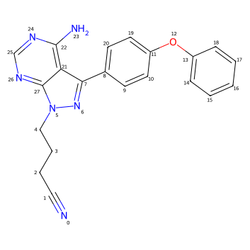 N#CCCCn1nc(-c2ccc(Oc3ccccc3)cc2)c2c(N)ncnc21